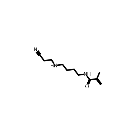 C=C(C)C(=O)NCCCCNCCC#N